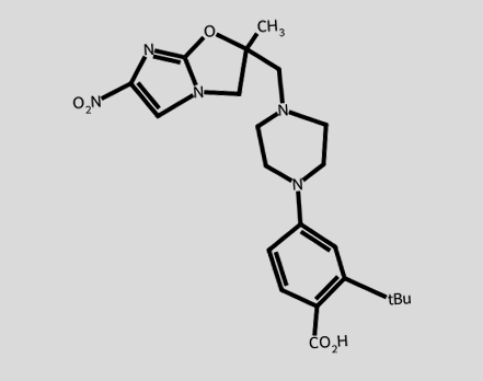 CC1(CN2CCN(c3ccc(C(=O)O)c(C(C)(C)C)c3)CC2)Cn2cc([N+](=O)[O-])nc2O1